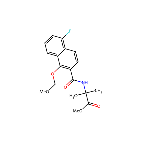 COCOc1c(C(=O)NC(C)(C)C(=O)OC)ccc2c(F)cccc12